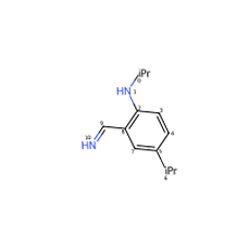 CC(C)Nc1ccc(C(C)C)cc1C=N